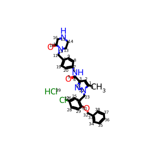 Cc1cc(C(=O)Nc2ccc(CN3CCNCC3=O)cc2)nn1Cc1cc(Cl)ccc1OCc1ccccc1.Cl